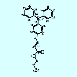 C/C=C/C(=O)OCCBr.c1ccc(P(c2ccccc2)c2ccccc2)cc1